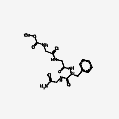 CC(C)(C)OC(=O)NCC(=O)NCC(=O)N[C@@H](Cc1ccccc1)C(=O)NCC(N)=O